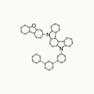 c1ccc(-c2cccc(-c3cccc(-n4c5ccccc5c5c6c7ccccc7n(-c7ccc8c(c7)oc7ccccc78)c6ccc54)c3)c2)cc1